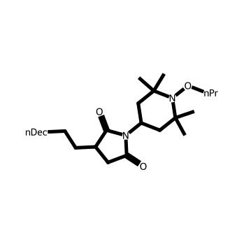 CCCCCCCCCCCCC1CC(=O)N(C2CC(C)(C)N(OCCC)C(C)(C)C2)C1=O